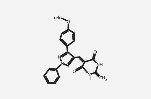 C=c1[nH]c(=O)c(=Cc2cn(-c3ccccc3)nc2-c2ccc(OCCCC)cc2)c(=O)[nH]1